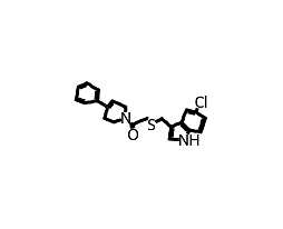 O=C(CSCc1c[nH]c2ccc(Cl)cc12)N1CC=C(c2ccccc2)CC1